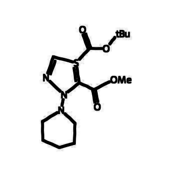 COC(=O)C1=S(C(=O)OC(C)(C)C)C=NN1N1CCCCC1